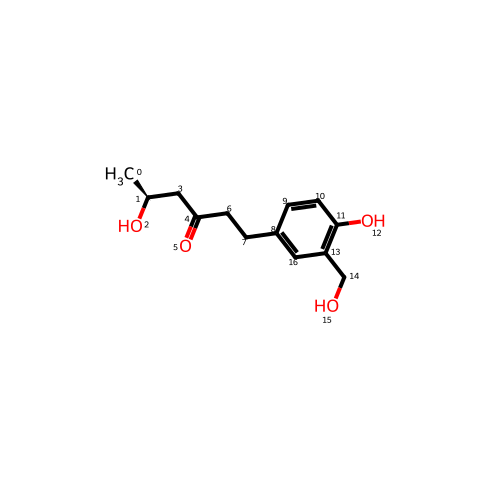 C[C@H](O)CC(=O)CCc1ccc(O)c(CO)c1